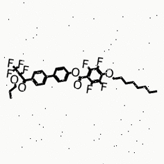 CCCCCCCCOc1c(F)c(F)c(C(=O)Oc2ccc(-c3ccc(C(=O)C(F)(OCCC)C(F)(F)F)cc3)cc2)c(F)c1F